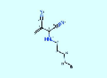 C=C(C#N)C(C#N)NCCCCC